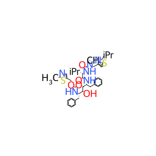 Cc1ncc(COC(=O)N[C@@H](Cc2ccccc2)[C@@H](O)C[C@H](Cc2ccccc2)NC(=O)[C@@H](NC(=O)N(C)Cc2csc(C(C)C)n2)C(C)C)s1